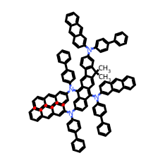 CC1(C)c2cc(N(c3ccc(-c4ccccc4)cc3)c3ccc4cc5ccccc5cc4c3)ccc2-c2cc3c(N(c4ccc(-c5ccccc5)cc4)c4ccc5cc6ccccc6cc5c4)c4cc(N(c5ccc(-c6ccccc6)cc5)c5ccc6cc7ccccc7cc6c5)ccc4c(N(c4ccc(-c5ccccc5)cc4)c4ccc5cc6ccccc6cc5c4)c3cc21